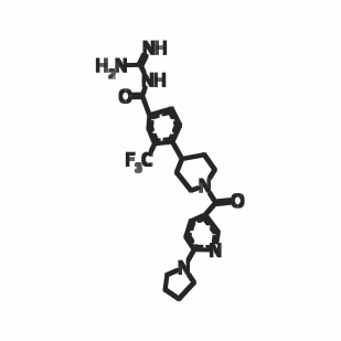 N=C(N)NC(=O)c1ccc(C2CCN(C(=O)c3ccc(N4CCCC4)nc3)CC2)c(C(F)(F)F)c1